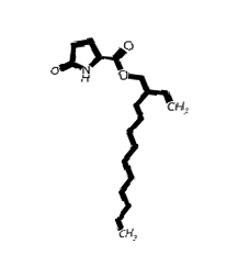 CCCCCCCCCCC(CC)COC(=O)[C@@H]1CCC(=O)N1